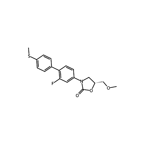 COC[C@H]1CN(c2ccc(-c3ccc(SC)cc3)c(F)c2)C(=O)O1